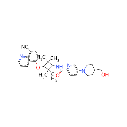 CC1(C)C(NC(=O)c2ccc(N3CCC(CO)CC3)cn2)C(C)(C)C1Oc1ccc(C#N)c2ncccc12